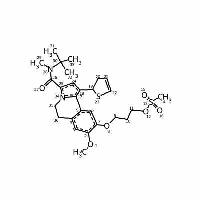 COc1cc2c(cc1OCCCOS(C)(=O)=O)-c1c(C3CC=CS3)cc(C(=O)N(C)C(C)(C)C)n1CC2